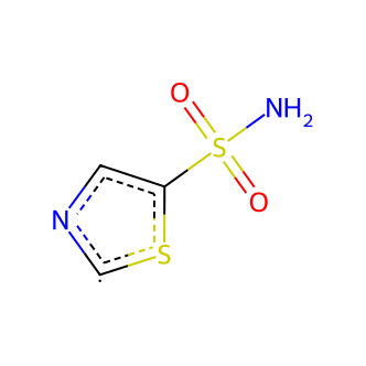 NS(=O)(=O)c1cn[c]s1